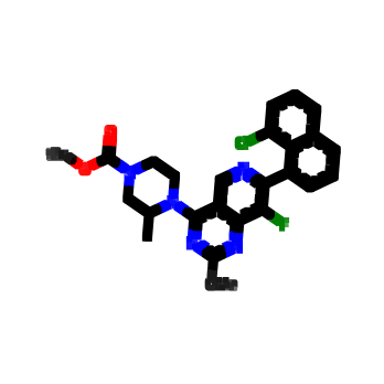 COc1nc(N2CCN(C(=O)OC(C)(C)C)CC2C)c2cnc(-c3cccc4cccc(Cl)c34)c(F)c2n1